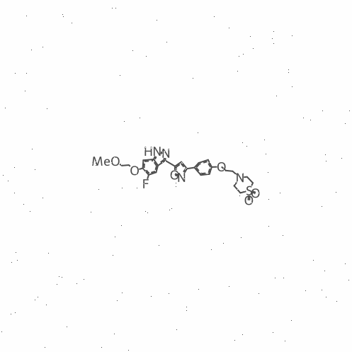 COCCOc1cc2[nH]nc(-c3cc(-c4ccc(OCCN5CCS(=O)(=O)CC5)cc4)no3)c2cc1F